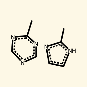 Cc1ncc[nH]1.Cc1ncncn1